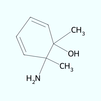 CC1(N)C=CC=CC1(C)O